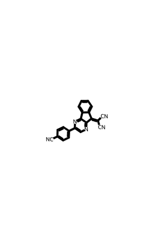 N#CC(C#N)=C1c2ccccc2-c2nc(-c3ccc(C#N)cc3)cnc21